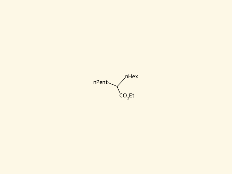 CCCCCCC(CCCCC)C(=O)OCC